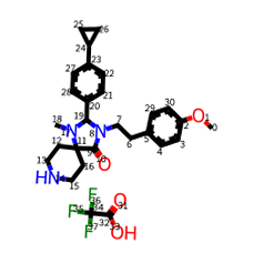 COc1ccc(CCN2C(=O)C3(CCNCC3)N(C)C2c2ccc(C3CC3)cc2)cc1.O=C(O)C(F)(F)F